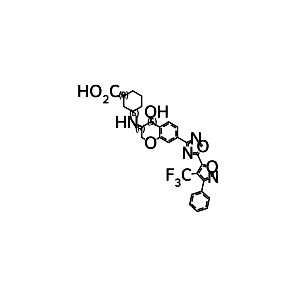 O=C(O)[C@@H]1CCC[C@H](N[C@@H]2COc3cc(-c4noc(-c5onc(-c6ccccc6)c5C(F)(F)F)n4)ccc3[C@@H]2O)C1